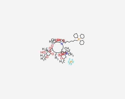 CC[C@H]1OC(=O)[C@H](C)[C@@H](O[C@H]2C[C@@](C)(OC)[C@@H](O)[C@H](C)O2)[C@H](C)[C@@H](O[C@@H]2O[C@H](C)C[C@H](N(C)C)[C@H]2O)[C@](C)(O)C[C@@H](C)CN(C(=O)CCCCCCC[P+](C2CCCCC2)(C2CCCCC2)C2CCCCC2)[C@H](C)[C@@H](O)[C@]1(C)O.F[P-](F)(F)(F)(F)F